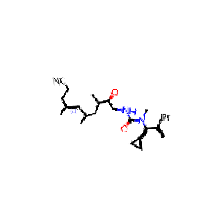 C=C(C(=C1CC1)N(C)C(=O)NCC(=O)C(C)CC(C)/C=C(\C)CCC#N)C(C)C